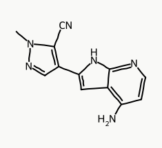 Cn1ncc(-c2cc3c(N)ccnc3[nH]2)c1C#N